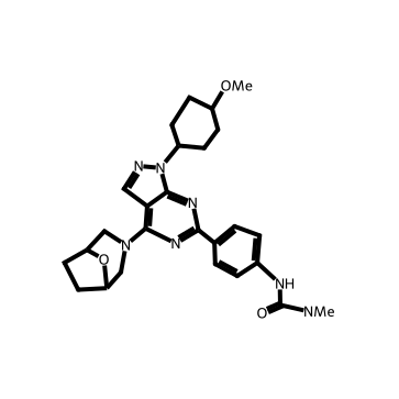 CNC(=O)Nc1ccc(-c2nc(N3CC4CCC(C3)O4)c3cnn(C4CCC(OC)CC4)c3n2)cc1